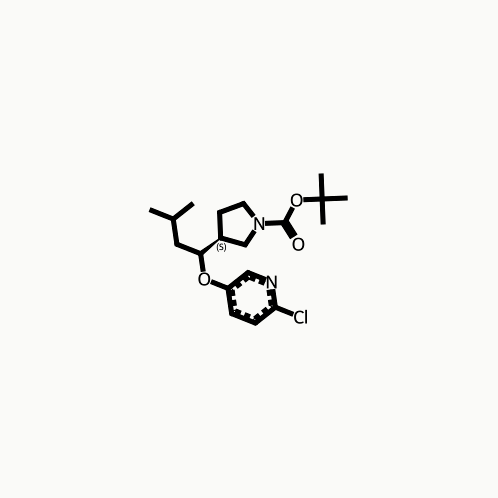 CC(C)CC(Oc1ccc(Cl)nc1)[C@H]1CCN(C(=O)OC(C)(C)C)C1